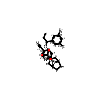 CCC(OCC(=O)N1CC2CCC(C1)N2c1ccc(C#N)cn1)c1cc(F)cc(Br)c1